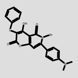 CC(C)n1c(-c2ccc(N(C)C)cc2)cc2oc(=O)c(Sc3ccccc3)c(O)c2c1=O